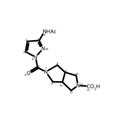 CC(=O)Nc1ccn(C(=O)N2CC3CN(C(=O)O)CC3C2)n1